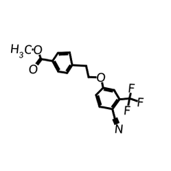 COC(=O)c1ccc(CCOc2ccc(C#N)c(C(F)(F)F)c2)cc1